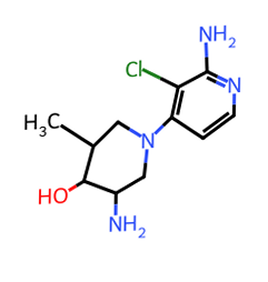 CC1CN(c2ccnc(N)c2Cl)CC(N)C1O